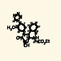 C#CC(=O)N(c1ccc(-n2cnnn2)c(C)c1)C(C(=O)NCC(=O)OCC)c1ccccc1F